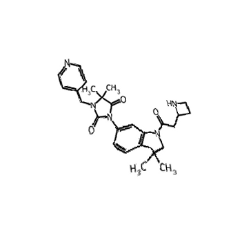 CC1(C)CN(C(=O)CC2CCN2)c2cc(N3C(=O)N(Cc4ccncc4)C(C)(C)C3=O)ccc21